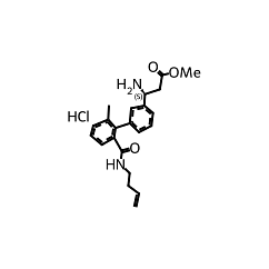 C=CCCNC(=O)c1cccc(C)c1-c1cccc([C@@H](N)CC(=O)OC)c1.Cl